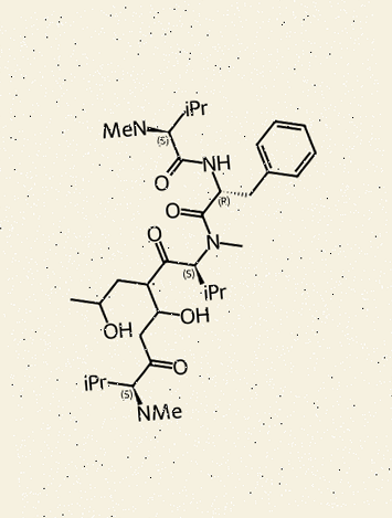 CN[C@H](C(=O)CC(O)[C](CC(C)O)C(=O)[C@H](C(C)C)N(C)C(=O)[C@@H](Cc1ccccc1)NC(=O)[C@@H](NC)C(C)C)C(C)C